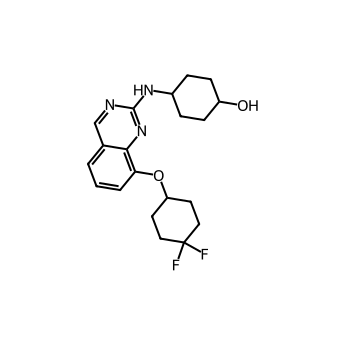 OC1CCC(Nc2ncc3cccc(OC4CCC(F)(F)CC4)c3n2)CC1